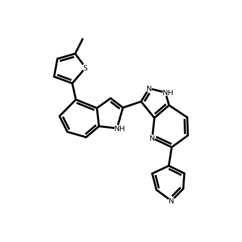 Cc1ccc(-c2cccc3[nH]c(-c4n[nH]c5ccc(-c6ccncc6)nc45)cc23)s1